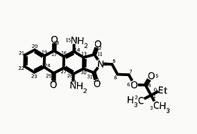 CCC(C)(C)C(=O)OCCCn1c(=O)c2c(N)c3c(=O)c4ccccc4c(=O)c3c(N)c2c1=O